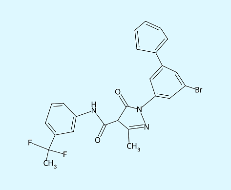 CC1=NN(c2cc(Br)cc(-c3ccccc3)c2)C(=O)C1C(=O)Nc1cccc(C(C)(F)F)c1